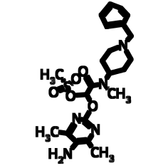 Cc1nc(OC(OS(C)(=O)=O)C(=O)N(C)C2CCN(Cc3ccccc3)CC2)nc(C)c1N